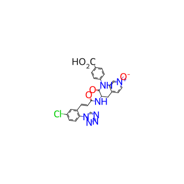 O=C(/C=C/c1cc(Cl)ccc1-n1cnnn1)NC(Cc1cc[n+]([O-])cc1)C(=O)Nc1ccc(C(=O)O)cc1